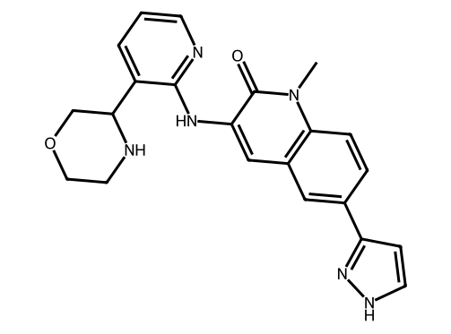 Cn1c(=O)c(Nc2ncccc2C2COCCN2)cc2cc(-c3cc[nH]n3)ccc21